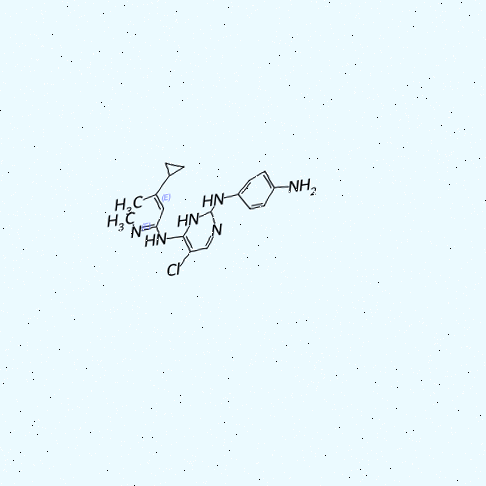 C/N=C(\C=C(/C)C1CC1)NC1=C(Cl)C=NC(Nc2ccc(N)cc2)N1